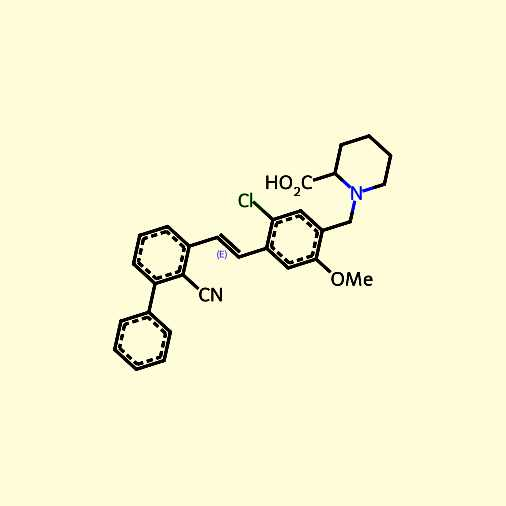 COc1cc(/C=C/c2cccc(-c3ccccc3)c2C#N)c(Cl)cc1CN1CCCCC1C(=O)O